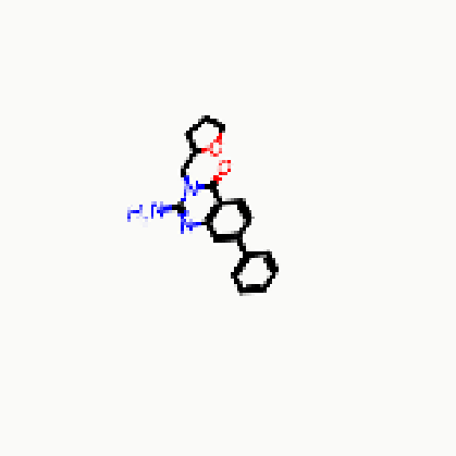 Nc1nc2cc(-c3ccccc3)ccc2c(=O)n1CC1CCCO1